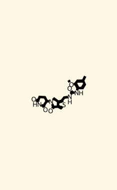 COc1cc(C)ccc1NC(=O)NCc1scc2c1CN(C1CCC(=O)NC1=O)C2=O